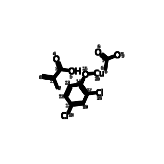 C=C(C)C(=O)O.CC(=O)[O-].Clc1ccc([O][Cu+])c(Cl)c1